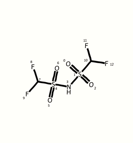 O=S(=O)(NS(=O)(=O)C(F)F)C(F)F